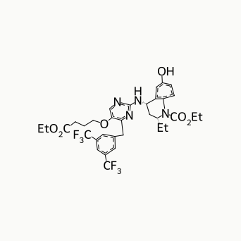 CCOC(=O)CCCOc1cnc(N[C@H]2C[C@@H](CC)N(C(=O)OCC)c3ccc(O)cc32)nc1Cc1cc(C(F)(F)F)cc(C(F)(F)F)c1